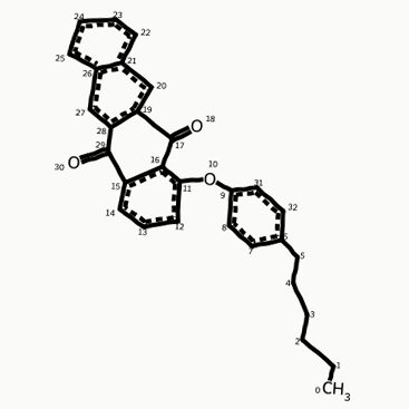 CCCCCCc1ccc(Oc2cccc3c2C(=O)c2cc4ccccc4cc2C3=O)cc1